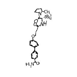 C[C@@H]1CCCN1C(=O)[C@@H](NC(=O)CCCOc1ccc(-c2ccc(C(N)=O)cc2)cc1)C(C)(C)C